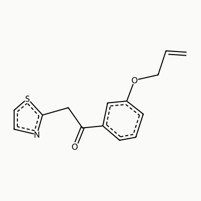 C=CCOc1cccc(C(=O)Cc2nccs2)c1